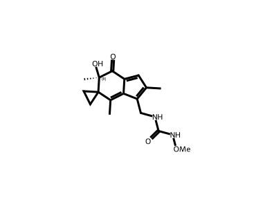 CONC(=O)NCC1=C(C)C=C2C(=O)[C@](C)(O)C3(CC3)C(C)=C21